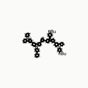 CCCCc1ccc(-n2c3ccccc3c3cc(-c4ccc5c(c4)c4ccc(-c6cccc(-c7ccc8c(c7)c7cc(-c9ccc%10c(c9)c9ccccc9n%10-c9ccccc9)ccc7n8-c7ccc(-c8ccccc8)cc7)c6)cc4n5-c4ccc(CCCC)cc4)ccc32)cc1